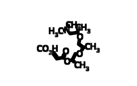 CC(COC(C)CN(C)C)OCC(C)OC(=O)/C=C\C(=O)O